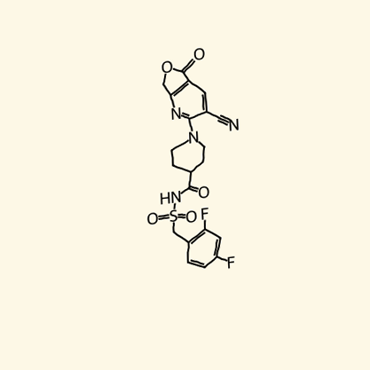 N#Cc1cc2c(nc1N1CCC(C(=O)NS(=O)(=O)Cc3ccc(F)cc3F)CC1)COC2=O